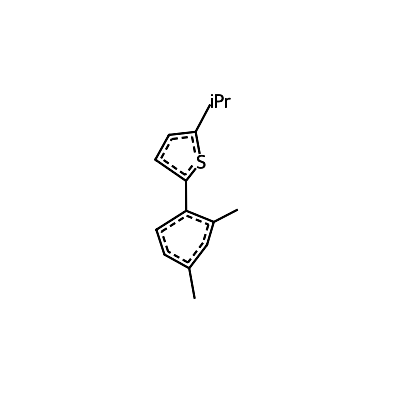 Cc1ccc(-c2ccc(C(C)C)s2)c(C)c1